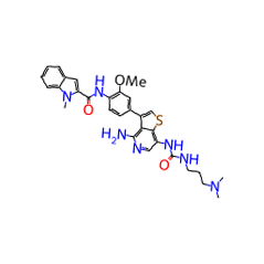 COc1cc(-c2csc3c(NC(=O)NCCCN(C)C)cnc(N)c23)ccc1NC(=O)c1cc2ccccc2n1C